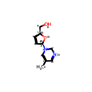 CC1=CN([C@H]2C=C[C@@H](CO)O2)CN=C1